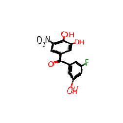 O=C(c1cc(O)cc(F)c1)c1cc(O)c(O)c([N+](=O)[O-])c1